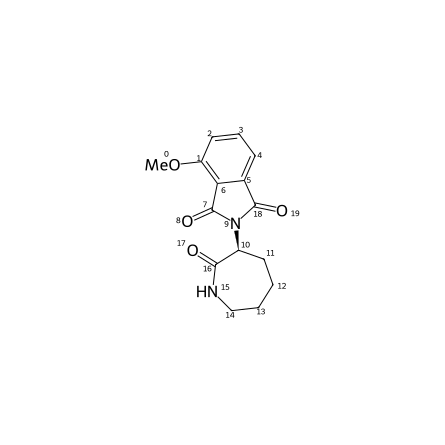 COc1cccc2c1C(=O)N([C@H]1CCCCNC1=O)C2=O